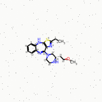 CCc1nc2c(s1)Nc1ccccc1N=C2N1CCN[C@@H](CCOC)C1